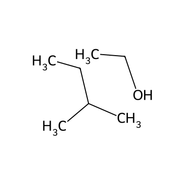 CCC(C)C.CCO